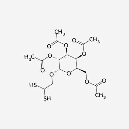 CC(=O)OC[C@H]1O[C@H](OCC(S)S)[C@H](OC(C)=O)[C@@H](OC(C)=O)[C@H]1OC(C)=O